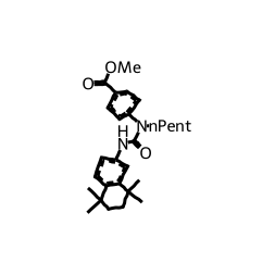 CCCCCN(C(=O)Nc1ccc2c(c1)C(C)(C)CCC2(C)C)c1ccc(C(=O)OC)cc1